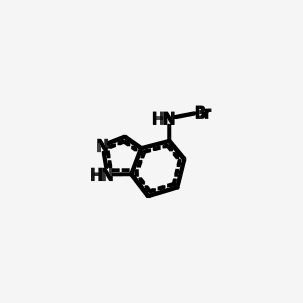 BrNc1cccc2[nH]ncc12